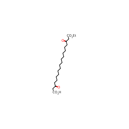 CCOC(=O)CC(=O)CCCCCCCCCCCCCCC(=O)CC(=O)O